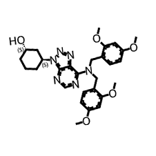 COc1ccc(CN(Cc2ccc(OC)cc2OC)c2ncnc3c2nnn3[C@H]2CCC[C@H](O)C2)c(OC)c1